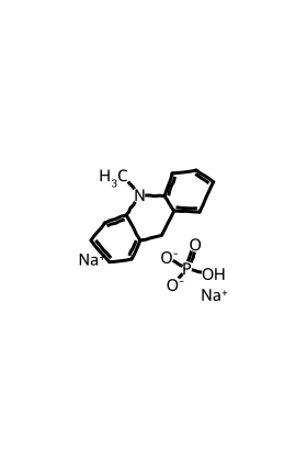 CN1c2ccccc2Cc2ccccc21.O=P([O-])([O-])O.[Na+].[Na+]